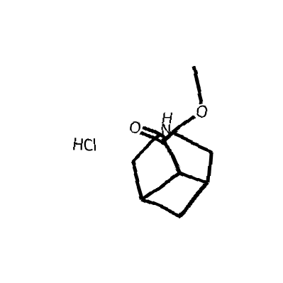 COC(=O)C1C2CNCC1C2.Cl